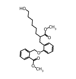 COC(=O)c1ccccc1COc1ccccc1CC(CCCCCCO)C(=O)OC